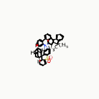 CC1(C)c2ccccc2-c2ccc(N(c3ccc4c(c3)C3(c5ccccc5S4(=O)=O)[C@H]4C[C@H]5C[C@H](C[C@H]3C5)C4)c3ccccc3-c3ccccc3)cc21